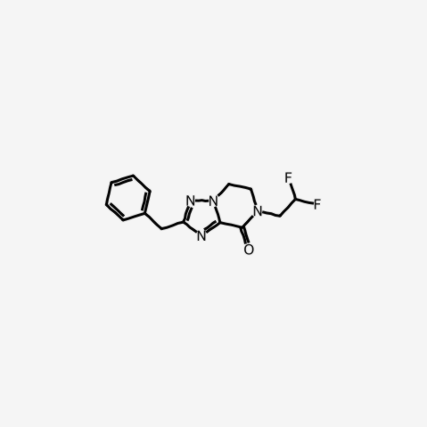 O=C1c2nc(Cc3ccccc3)nn2CCN1CC(F)F